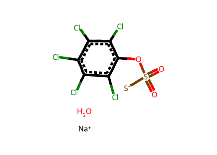 O.O=S(=O)([S-])Oc1c(Cl)c(Cl)c(Cl)c(Cl)c1Cl.[Na+]